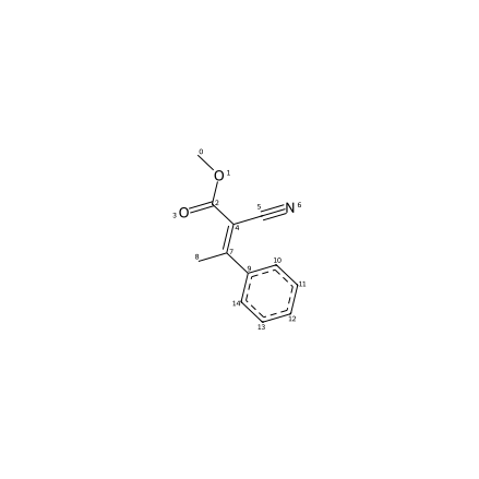 COC(=O)/C(C#N)=C(\C)c1ccccc1